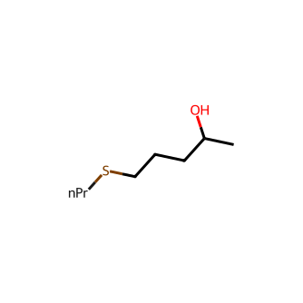 CCCSCCCC(C)O